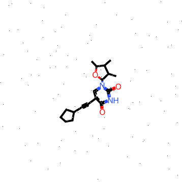 CC1OC(n2cc(C#CC3CCCC3)c(=O)[nH]c2=O)C(C)C1C